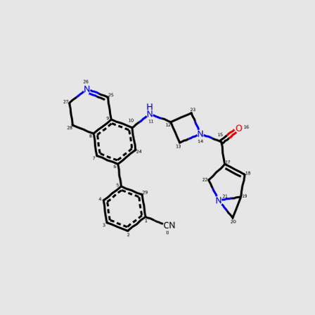 N#Cc1cccc(-c2cc3c(c(NC4CN(C(=O)C5=CC6CN6C5)C4)c2)C=NCC3)c1